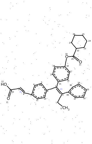 CC/C(=C(\c1ccc(/C=C/C(=O)O)cc1)c1ccc(OC(=O)C2CCCCC2)cc1)c1ccccc1